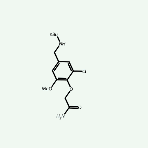 CCCCNCc1cc(Cl)c(OCC(N)=O)c(OC)c1